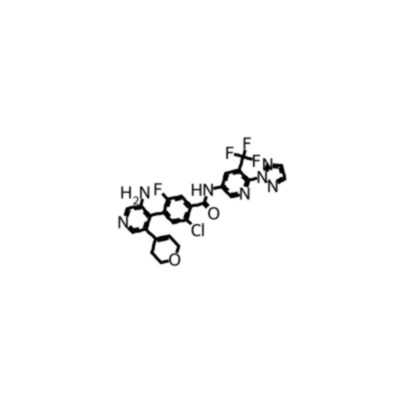 Nc1cncc(C2=CCOCC2)c1-c1cc(Cl)c(C(=O)Nc2cnc(-n3nccn3)c(C(F)(F)F)c2)cc1F